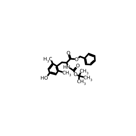 Cc1cc(O)cc(C)c1CC(NC(=O)OC(C)(C)C)C(=O)OCc1ccccc1